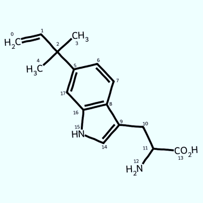 C=CC(C)(C)c1ccc2c(CC(N)C(=O)O)c[nH]c2c1